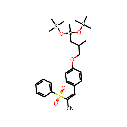 CC(COc1ccc(C=C(C#N)S(=O)(=O)c2ccccc2)cc1)C[Si](C)(O[Si](C)(C)C)O[Si](C)(C)C